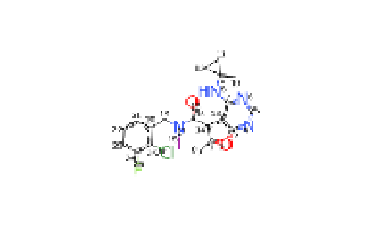 Cc1oc2ncnc(NC3(C)CC3)c2c1C(=O)N(I)Cc1cccc(F)c1Cl